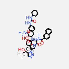 CC(C)(O)c1cnnn1[C@H]1C[C@@H](C(=O)NC(Cc2ccc(NC(=O)NC3CCCCC3)cc2)C(O)C(N)=O)N(C(=O)[C@@H](CC2CCCCC2)NC(=O)c2ccc3ccccc3c2)C1